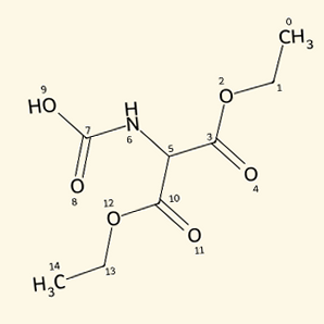 CCOC(=O)C(NC(=O)O)C(=O)OCC